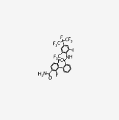 NC(=O)c1ccc(F)c(-c2ccccc2C(=O)Nc2c(I)cc(C(F)(C(F)(F)F)C(F)(F)F)cc2C(F)(F)F)c1F